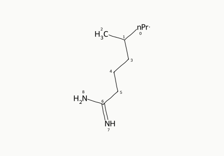 CC[CH]C(C)CCCC(=N)N